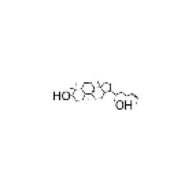 C/C=C\CCC(CO)C1CC[C@@]2(C)C3=C(CC[C@]12C)[C@@]1(C)CC[C@H](O)C(C)(C)C1CC3